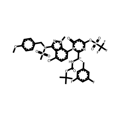 COc1ccc(CN(c2nn(C)c3c(-n4c([C@H](Cc5cc(F)cc(F)c5)NC(=O)OC(C)(C)C)nc(OS(=O)(=O)C(F)(F)F)cc4=O)ccc(Cl)c23)S(C)(=O)=O)cc1